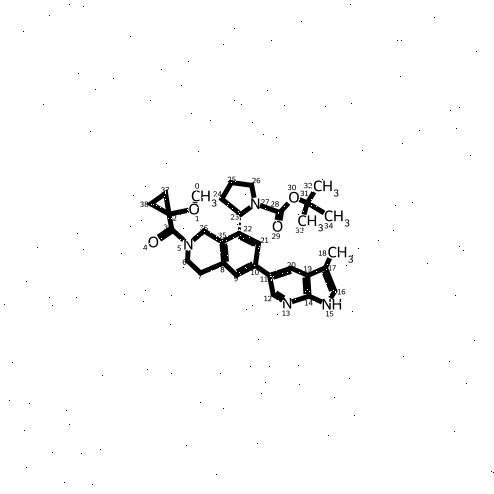 COC1(C(=O)N2CCc3cc(-c4cnc5[nH]cc(C)c5c4)cc([C@@H]4CCCN4C(=O)OC(C)(C)C)c3C2)CC1